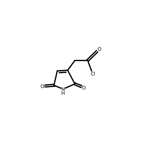 O=C(Cl)CC1=CC(=O)NC1=O